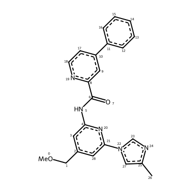 COCc1cc(NC(=O)c2cc(-c3ccccc3)ccn2)nc(-n2cnc(C)c2)c1